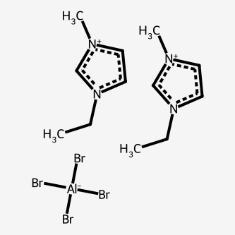 CCn1cc[n+](C)c1.CCn1cc[n+](C)c1.[Br][Al-]([Br])([Br])[Br]